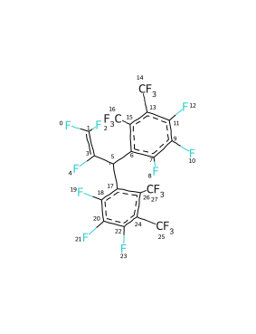 FC(F)=C(F)[C](c1c(F)c(F)c(F)c(C(F)(F)F)c1C(F)(F)F)c1c(F)c(F)c(F)c(C(F)(F)F)c1C(F)(F)F